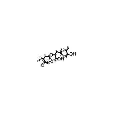 COC(CC(=O)OC(CC(=O)OC(C)C(=O)O)C(=O)O)C(=O)O